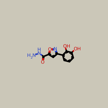 NNC(=O)c1cc(-c2cccc(O)c2O)no1